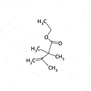 C=C(C)C(C)(C)C(=O)OCC